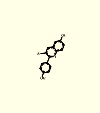 Oc1ccc(-c2nc3ccc(O)cc3cc2Br)cc1